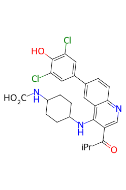 CC(C)C(=O)c1cnc2ccc(-c3cc(Cl)c(O)c(Cl)c3)cc2c1NC1CCC(NC(=O)O)CC1